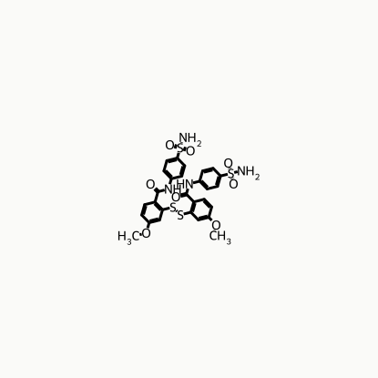 COc1ccc(C(=O)Nc2ccc(S(N)(=O)=O)cc2)c(SSc2cc(OC)ccc2C(=O)Nc2ccc(S(N)(=O)=O)cc2)c1